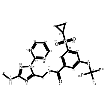 CNc1nc(CNC(=O)c2cc(OC(F)(F)F)cc(S(=O)(=O)C3CC3)c2)n(-c2ncccn2)n1